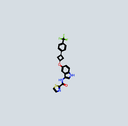 O=C(Nc1c[nH]c2ccc(O[C@H]3C[C@H](c4ccc(C(F)(F)F)cc4)C3)cc12)c1nccs1